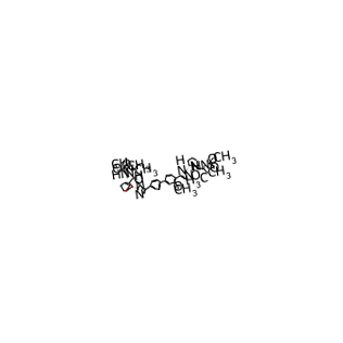 COC(=O)N[C@H](C(=O)N1CCC[C@H]1c1ncc(-c2ccc(-c3ccc(-c4cnc([C@@H]5C6CCC(C6)C5C(=O)N(NC(=O)OC)C(C)C)[nH]4)cc3)cc2OC)[nH]1)C(C)C